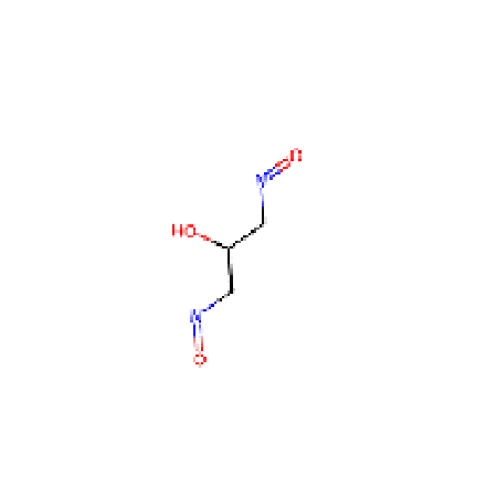 O=NCC(O)CN=O